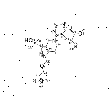 COc1cc2ncnc(N3CCc4c(c(C(C)(C)O)nn4COCC[Si](C)(C)C)C3)c2cc1OC